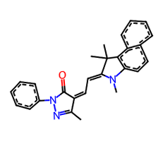 CC1=NN(c2ccccc2)C(=O)/C1=C\C=C1/N(C)c2ccc3ccccc3c2C1(C)C